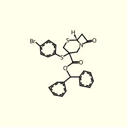 O=C1C[C@H]2SCC(Sc3ccc(Br)cc3)(C(=O)OC(c3ccccc3)c3ccccc3)CN12